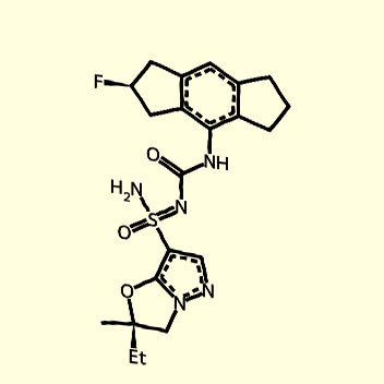 CC[C@]1(C)Cn2ncc(S(N)(=O)=NC(=O)Nc3c4c(cc5c3C[C@@H](F)C5)CCC4)c2O1